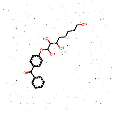 O=C(c1ccccc1)c1ccc(OC(O)C(O)C(O)CCCCCO)cc1